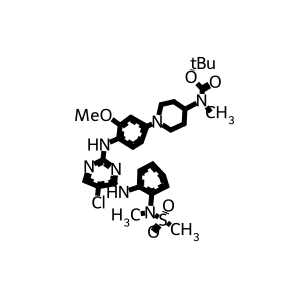 COc1cc(N2CCC(N(C)C(=O)OC(C)(C)C)CC2)ccc1Nc1ncc(Cl)c(Nc2ccccc2N(C)S(C)(=O)=O)n1